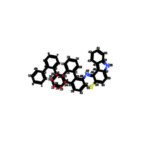 c1ccc(-c2ccccc2-c2ccccc2-c2ccccc2-c2c(-c3ccccc3)ccc3sc4ccc5nc6ccccc6c5c4nc23)cc1